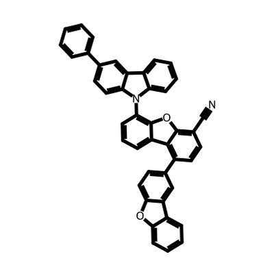 N#Cc1ccc(-c2ccc3oc4ccccc4c3c2)c2c1oc1c(-n3c4ccccc4c4cc(-c5ccccc5)ccc43)cccc12